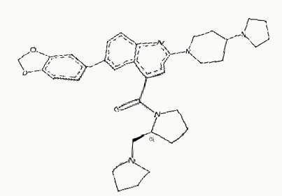 O=C(c1cc(N2CCC(N3CCCC3)CC2)nc2ccc(-c3ccc4c(c3)OCO4)cc12)N1CCC[C@H]1CN1CCCC1